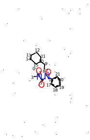 CON(C)C(=O)N(OCCC1CCCCC1)c1ccccc1